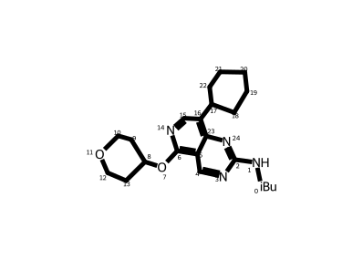 CCC(C)Nc1ncc2c(OC3CCOCC3)ncc(C3CCCCC3)c2n1